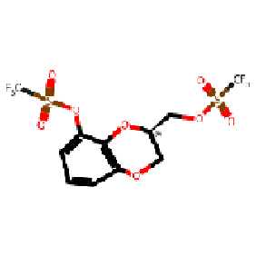 O=S(=O)(OC[C@H]1COc2cccc(OS(=O)(=O)C(F)(F)F)c2O1)C(F)(F)F